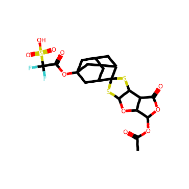 CC(=O)OC1OC(=O)C2C1OC1SC3(SC12)C1CC2CC3CC(OC(=O)C(F)(F)S(=O)(=O)O)(C2)C1